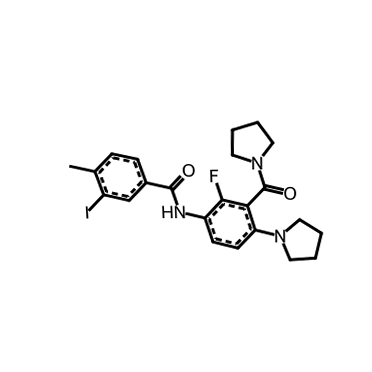 Cc1ccc(C(=O)Nc2ccc(N3CCCC3)c(C(=O)N3CCCC3)c2F)cc1I